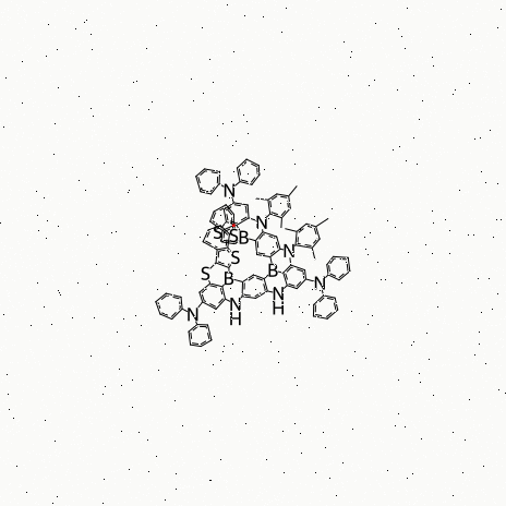 Cc1cc(C)c(N2c3cc4c(cc3B3c5cc6c(cc5Nc5cc(N(c7ccccc7)c7ccccc7)cc2c53)Nc2cc(N(c3ccccc3)c3ccccc3)cc3c2B6c2sc5ccccc5c2S3)B2c3sc5ccccc5c3Sc3cc(N(c5ccccc5)c5ccccc5)cc(c32)N4c2c(C)cc(C)cc2C)c(C)c1